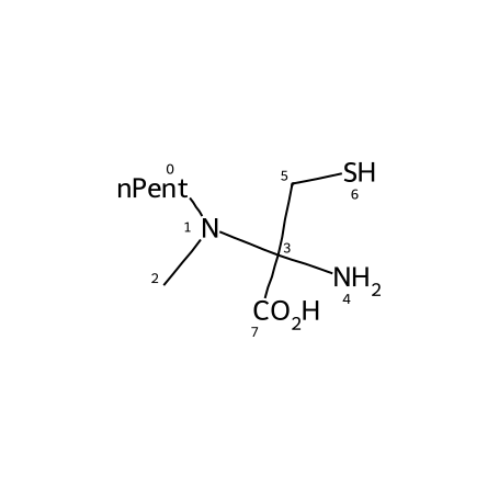 CCCCCN(C)C(N)(CS)C(=O)O